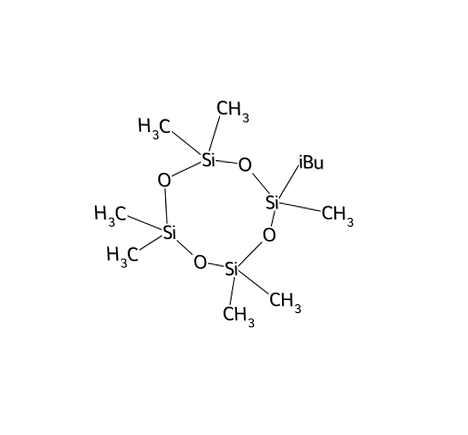 CCC(C)[Si]1(C)O[Si](C)(C)O[Si](C)(C)O[Si](C)(C)O1